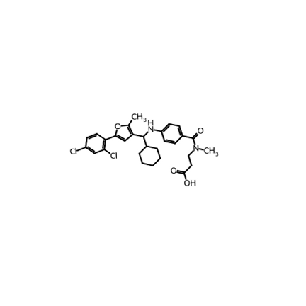 Cc1oc(-c2ccc(Cl)cc2Cl)cc1C(Nc1ccc(C(=O)N(C)CCC(=O)O)cc1)C1CCCCC1